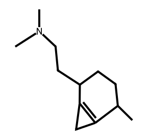 CC1CCC(CCN(C)C)C2=C1C2